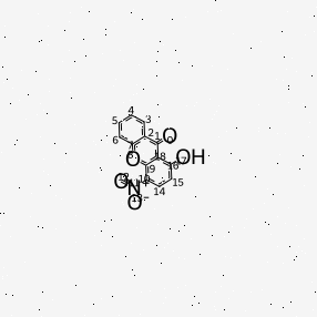 O=c1c2ccccc2oc2c([N+](=O)[O-])ccc(O)c12